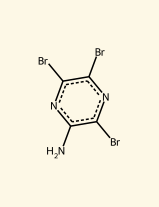 Nc1nc(Br)c(Br)nc1Br